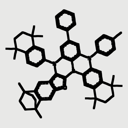 Cc1ccc(N2c3cc4c(cc3B3c5oc6cc7c(cc6c5N(c5ccc6c(c5)C(C)(C)CCC6(C)C)c5cc(-c6ccccc6)cc2c53)C2(C)CCC7(C)CC2)C(C)(C)CCC4(C)C)cc1